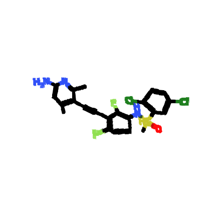 Cc1cc(N)nc(C)c1C#Cc1c(F)ccc(N[SH](C)(=O)c2cc(Cl)ccc2Cl)c1F